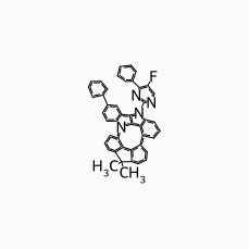 CC1(C)c2cccc3c4cccc5c4c4c(c6cc(-c7ccccc7)ccc6n4c4cccc1c4c23)n5-c1ncc(F)c(-c2ccccc2)n1